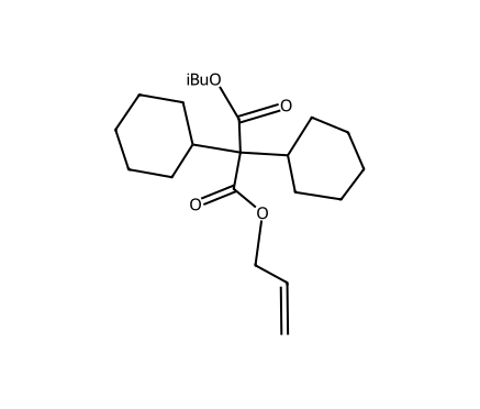 C=CCOC(=O)C(C(=O)OCC(C)C)(C1CCCCC1)C1CCCCC1